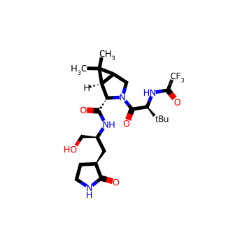 CC(C)(C)[C@H](NC(=O)C(F)(F)F)C(=O)N1CC2[C@@H]([C@H]1C(=O)N[C@H](CO)C[C@@H]1CCNC1=O)C2(C)C